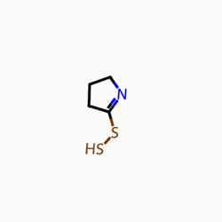 SSC1=NCCC1